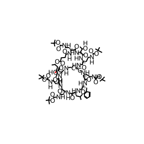 C=C(O)[C@@H]1NC(=O)[C@H](CCNC(=O)OC(C)(C)C)NC(=O)[C@H](CCNC(=O)OC(C)(C)C)NC(=O)[C@H](CC(C)C)NC(=O)[C@@H](Cc2ccccc2)NC(=O)[C@H](CCNC(=O)OC(C)(C)C)NC[C@@H](NC(=O)[C@H](CCNC(=O)OC(C)(C)C)NC(=O)[C@@H](NC(=O)[C@H](CCNC(=O)OC(C)(C)C)NC(=O)CCC(=O)OC(C)CCCC)C(C)O)CCNC1=O